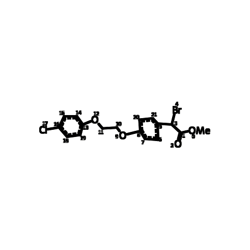 COC(=O)C(Br)c1ccc(OCCOc2ccc(Cl)cc2)cc1